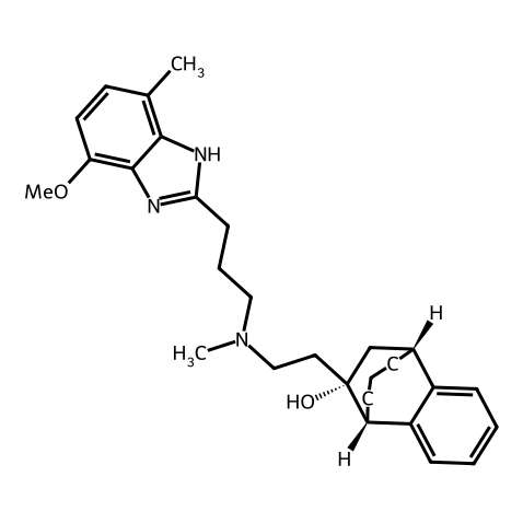 COc1ccc(C)c2[nH]c(CCCN(C)CC[C@@]3(O)C[C@H]4CCC[C@@H]3c3ccccc34)nc12